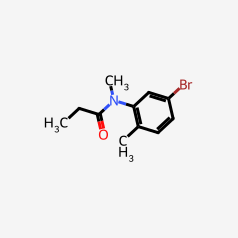 CCC(=O)N(C)c1cc(Br)ccc1C